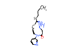 CCC[Se]C1CCN(c2cccnc2)C(=O)CN1